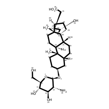 C[C@]12CC[C@H](O[C@@H]3O[C@H](CO)[C@@H](O)[C@H](O)[C@H]3N)C[C@H]1CC[C@@H]1[C@@H]2CC[C@]2(C)[C@@H]3CC[C@]12O[C@@H](O)[C@H]3CC(=O)O